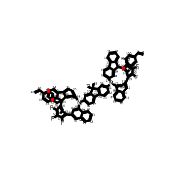 C=Cc1ccc(CC23c4ccccc4-c4ccc(cc42)N(c2ccc4c(c2)C(C)(C)c2cc(N5c6ccc7c(c6)C(Cc6ccc(C=C)cc6)(c6ccccc6-7)c6c(F)c(F)c(F)c(c6F)-c6cc5c5ccccc5c6)ccc2-4)c2cc(cc4ccccc24)-c2c(F)c(F)c(F)c3c2F)cc1